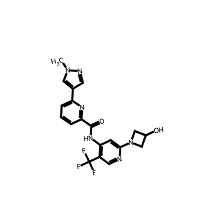 Cn1cc(-c2cccc(C(=O)Nc3cc(N4CC(O)C4)ncc3C(F)(F)F)n2)cn1